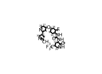 Cn1cc(-c2cc(Oc3ccc(NC(=O)Nc4cc(C(F)(F)F)c[nH]c4=O)c(F)c3)ccn2)cn1